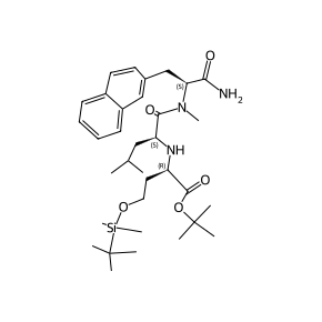 CC(C)C[C@H](N[C@H](CCO[Si](C)(C)C(C)(C)C)C(=O)OC(C)(C)C)C(=O)N(C)[C@@H](Cc1ccc2ccccc2c1)C(N)=O